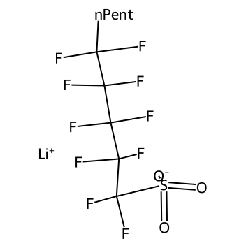 CCCCCC(F)(F)C(F)(F)C(F)(F)C(F)(F)C(F)(F)S(=O)(=O)[O-].[Li+]